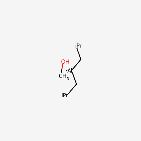 CC(C)[CH2][Al][CH2]C(C)C.CO